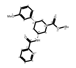 COc1cccc([C@H]2C[C@@H](NC(=O)c3ccccn3)CN(C(=O)OC(C)(C)C)C2)c1